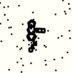 O=C=Nc1ccc(CN2CCCC2)c(N=C=O)c1